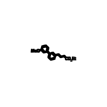 CCOC(=O)CCCc1cccc(-c2cccc(OC)c2)c1